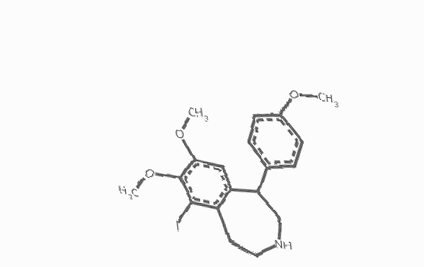 COc1ccc(C2CNCCc3c2cc(OC)c(OC)c3I)cc1